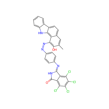 Cc1cc2ccc3c4ccccc4[nH]c3c2c(/N=N\c2ccc(/N=C3\NC(=O)c4c(Cl)c(Cl)c(Cl)c(Cl)c43)cc2)c1O